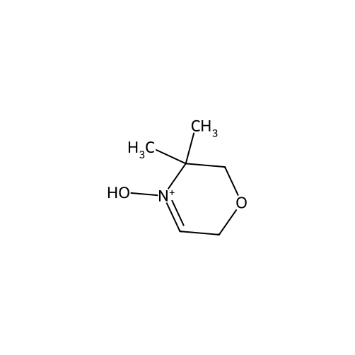 CC1(C)COCC=[N+]1O